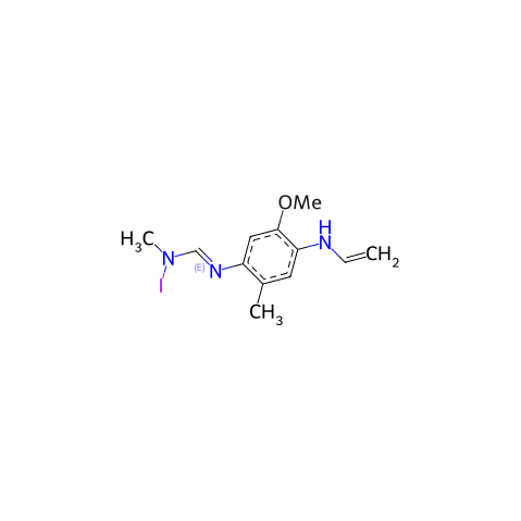 C=CNc1cc(C)c(/N=C/N(C)I)cc1OC